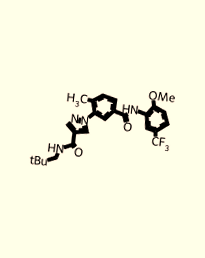 COc1ccc(C(F)(F)F)cc1NC(=O)c1ccc(C)c(-n2cc(C(=O)NCC(C)(C)C)cn2)c1